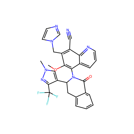 COc1c(Cn2ccnc2)c(C#N)c2ncccc2c1N1C(=O)c2ccccc2CC1c1cn(C)nc1C(F)(F)F